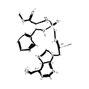 COC(=O)CN[P@](=O)(CO[C@H](C)Cn1cnc2c(N)ncnc21)OCc1ccccc1